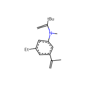 C=C(C)c1cc(CC)cc(N(C)C(=C)C(C)(C)C)c1